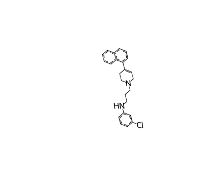 Clc1cccc(NCCCN2CC=C(c3cccc4ccccc34)CC2)c1